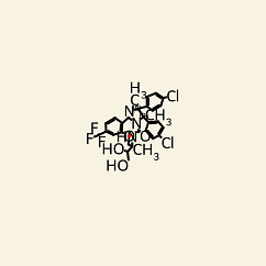 CCOc1cc(C(F)(F)F)ccc1C1=N[C@@](C)(c2ccc(Cl)cc2)[C@@](C)(c2ccc(Cl)cc2)N1C(=O)NCC(O)CO